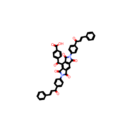 O=C(O)c1ccc(C(=O)c2c3c(=O)n(-c4ccc(C(=O)C=Cc5ccccc5)cc4)c(=O)c3cc3c(=O)n(-c4ccc(C(=O)C=Cc5ccccc5)cc4)c(=O)c23)cc1